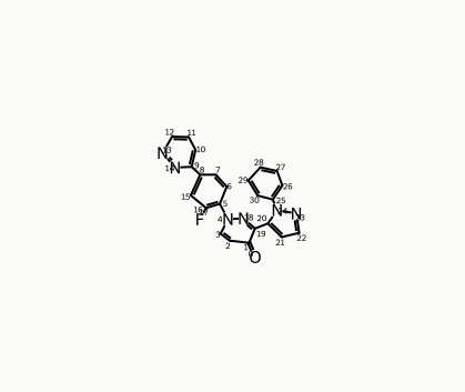 O=c1ccn(-c2ccc(-c3cccnn3)cc2F)nc1-c1ccnn1-c1ccccc1